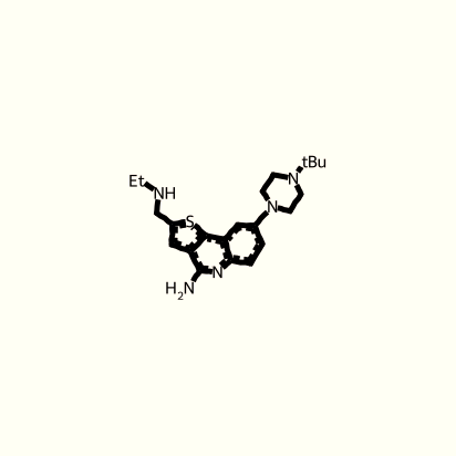 CCNCc1cc2c(N)nc3ccc(N4CCN(C(C)(C)C)CC4)cc3c2s1